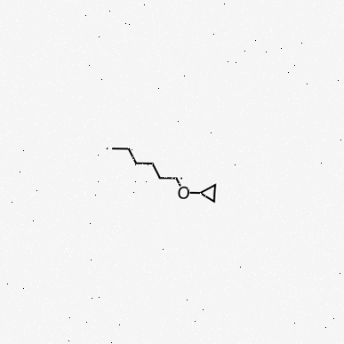 [CH2]CCCC[CH]OC1CC1